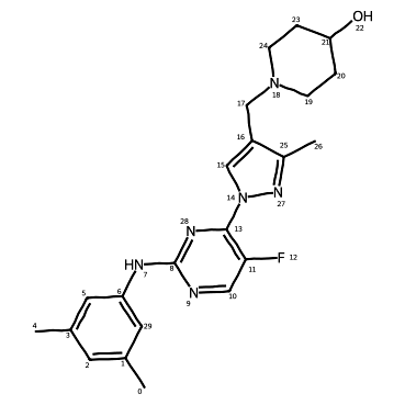 Cc1cc(C)cc(Nc2ncc(F)c(-n3cc(CN4CCC(O)CC4)c(C)n3)n2)c1